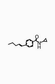 CCC/C=C/c1ccc(C(=O)NC2CC2)cc1